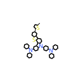 Cc1ccc(-c2ccc3sc4c(ccc5c4c4cc(N(c6ccccc6)c6ccccc6)ccc4n5-c4ccc(N(c5ccccc5)c5ccccc5)cc4)c3c2)s1